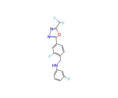 Fc1cccc(NCc2ccc(-c3nnc(C(F)F)o3)cc2F)c1